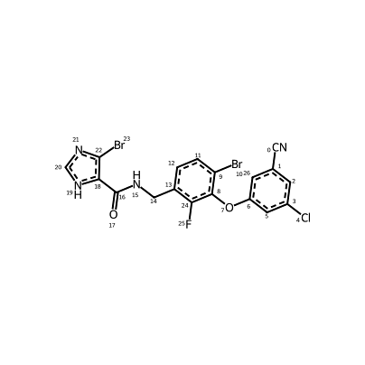 N#Cc1cc(Cl)cc(Oc2c(Br)ccc(CNC(=O)c3[nH]cnc3Br)c2F)c1